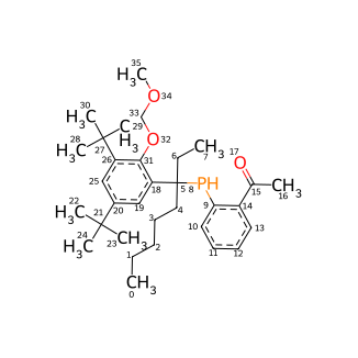 CCCCCC(CC)(Pc1ccccc1C(C)=O)c1cc(C(C)(C)C)cc(C(C)(C)C)c1OCOC